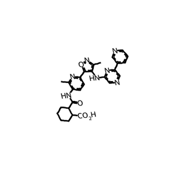 Cc1nc(-c2onc(C)c2Nc2cncc(-c3cccnc3)n2)ccc1NC(=O)C1CCCCC1C(=O)O